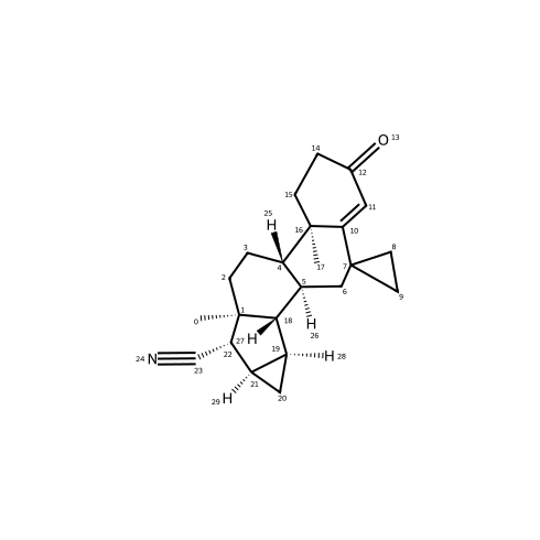 C[C@]12CC[C@H]3[C@@H](CC4(CC4)C4=CC(=O)CC[C@@]43C)[C@@H]1[C@H]1C[C@H]1[C@@H]2C#N